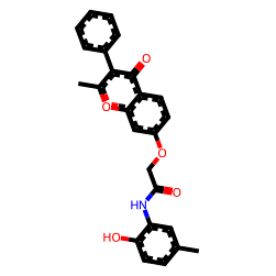 Cc1ccc(O)c(NC(=O)COc2ccc3c(=O)c(-c4ccccc4)c(C)oc3c2)c1